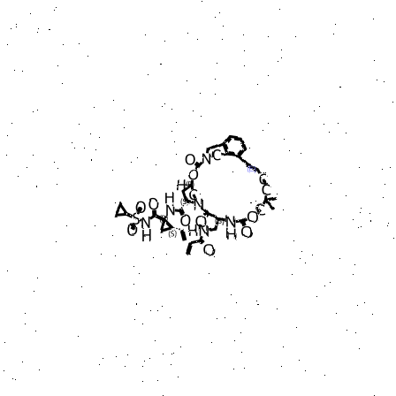 C=CC(=O)NC[C@@H]1NC(=O)OCC(C)(C)CC/C=C/c2cccc3c2CN(C3)C(=O)O[C@@H]2C[C@@H](C(=O)N[C@]3(C(=O)NS(=O)(=O)C4CC4)C[C@H]3C=C)N(C2)C1=O